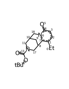 CCc1ccc(=O)n2c1C1CC(CN(C(=O)OC(C)(C)C)C1)C2